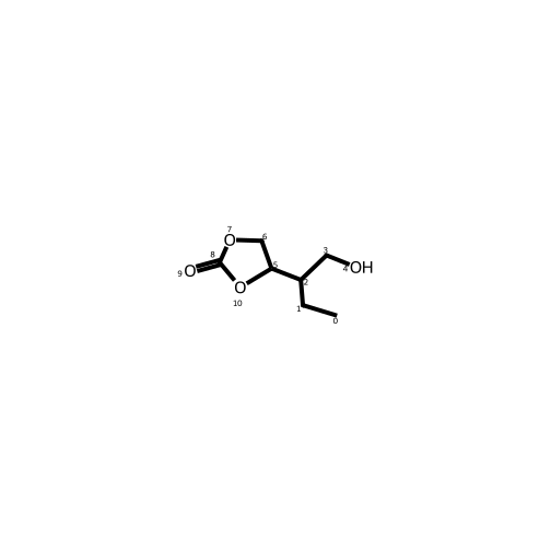 CCC(CO)C1COC(=O)O1